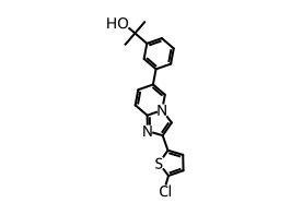 CC(C)(O)c1cccc(-c2ccc3nc(-c4ccc(Cl)s4)cn3c2)c1